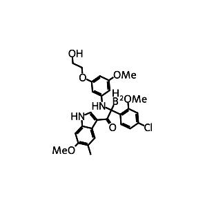 BC(Nc1cc(OC)cc(OCCO)c1)(C(=O)c1c[nH]c2cc(OC)c(C)cc12)c1ccc(Cl)cc1OC